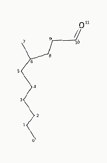 CCCCCCC(C)CC[C]=O